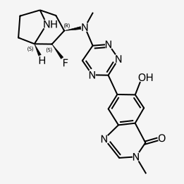 CN(c1cnc(-c2cc3ncn(C)c(=O)c3cc2O)nn1)[C@@H]1CC2CC[C@H](N2)[C@@H]1F